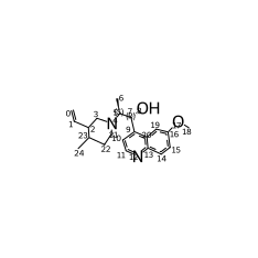 C=CC1CN([C@@H](C)[C@H](O)c2ccnc3ccc(OC)cc23)CCC1C